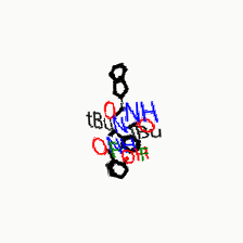 CC[C@@H](C)[C@@H]1C(=O)N[C@H](C2Cc3ccccc3C2)C(=O)N1C(CNC(=O)c1ccccc1O)(c1ccc(F)cc1F)C(C)(C)C